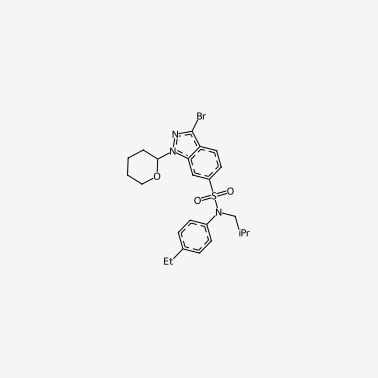 CCc1ccc(N(CC(C)C)S(=O)(=O)c2ccc3c(Br)nn(C4CCCCO4)c3c2)cc1